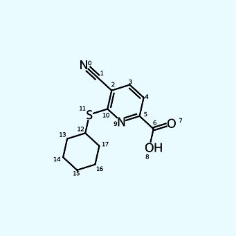 N#Cc1ccc(C(=O)O)nc1SC1CCCCC1